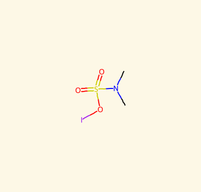 CN(C)S(=O)(=O)OI